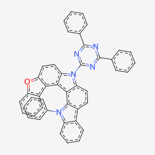 c1ccc(-c2nc(-c3ccccc3)nc(-n3c4ccc5oc6ccccc6c5c4c4c3ccc3c5ccccc5n(-c5ccccc5)c34)n2)cc1